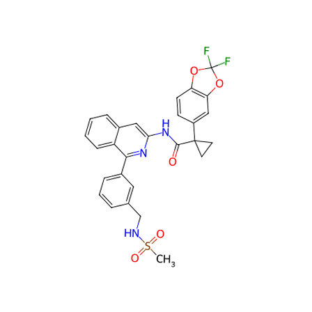 CS(=O)(=O)NCc1cccc(-c2nc(NC(=O)C3(c4ccc5c(c4)OC(F)(F)O5)CC3)cc3ccccc23)c1